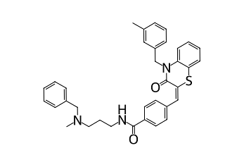 Cc1cccc(CN2C(=O)/C(=C\c3ccc(C(=O)NCCCN(C)Cc4ccccc4)cc3)Sc3ccccc32)c1